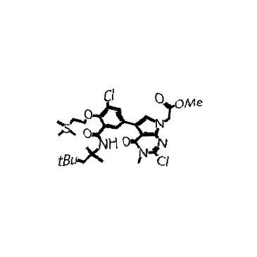 COC(=O)Cn1cc(-c2cc(Cl)c(OCCS(C)(C)C)c(C(=O)NC(C)(C)CC(C)(C)C)c2)c2c(=O)n(C)c(Cl)nc21